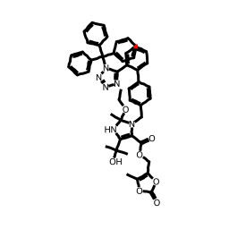 CCOC1(C)NC(C(C)(C)O)=C(C(=O)OCc2oc(=O)oc2C)N1Cc1ccc(-c2ccccc2-c2nnnn2C(c2ccccc2)(c2ccccc2)c2ccccc2)cc1